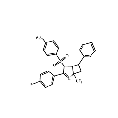 Cc1ccc(S(=O)(=O)C2C(c3ccc(F)cc3)=NC3(C(F)(F)F)CC(c4ccccc4)C23)cc1